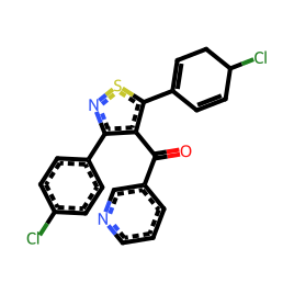 O=C(c1cccnc1)c1c(-c2ccc(Cl)cc2)nsc1C1=CCC(Cl)C=C1